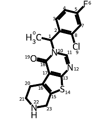 CC(c1ccc(F)cc1Cl)n1cnc2sc3c(c2c1=O)CCNC3